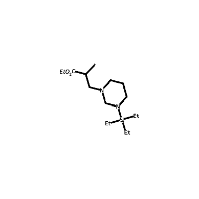 CCOC(=O)C(C)CN1CCCN([Si](CC)(CC)CC)C1